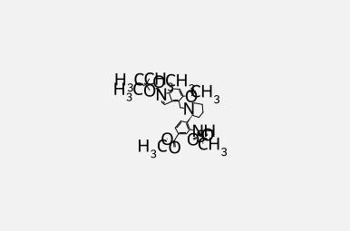 COC(=O)c1ccc([C@@H]2CCCCN2Cc2c(OC)cc(C)c3c2ccn3C(=O)OC(C)(C)C)c(NS(C)(=O)=O)c1